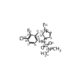 CN(C)S(=O)(=O)N[C@@H]1CCN(F)[C@H]1Cc1cccc(Cl)c1F